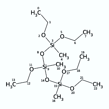 CCO[Si](C)(OCC)O[Si](C)(OCC)O[Si](C)(OCC)OCC